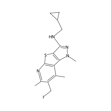 Cc1nc2sc3c(NCC4CC4)nn(C)c3c2c(C)c1CI